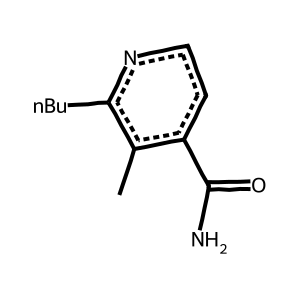 CCCCc1nccc(C(N)=O)c1C